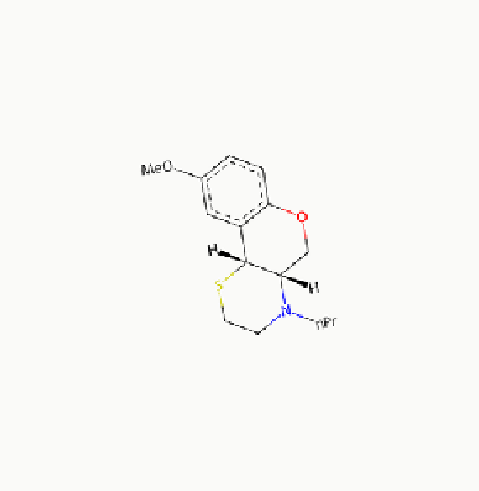 CCCN1CCS[C@@H]2c3cc(OC)ccc3OC[C@@H]21